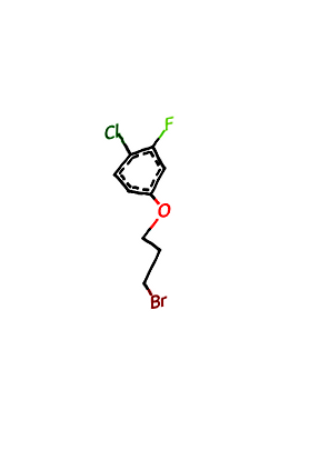 Fc1cc(OCCCBr)ccc1Cl